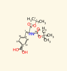 CC(C)OC(=O)[C@H](Cc1ccc(B(O)O)cc1)NC(=O)OC(C)(C)C